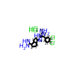 Cl.Cl.N=C(N)c1cccc2c1CCC2=Nc1[nH]c(N)nc1-c1ccc(Cl)c(Cl)c1